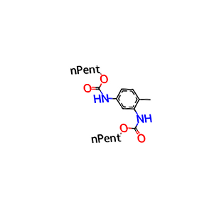 CCCCCOC(=O)Nc1ccc(C)c(NC(=O)OCCCCC)c1